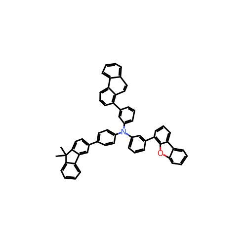 CC1(C)c2ccccc2-c2cc(-c3ccc(N(c4cccc(-c5cccc6c5ccc5ccccc56)c4)c4cccc(-c5cccc6c5oc5ccccc56)c4)cc3)ccc21